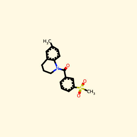 Cc1ccc2c(c1)CCCN2C(=O)c1cccc(S(C)(=O)=O)c1